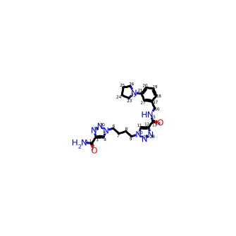 NC(=O)c1cn(CCCCn2cc(C(=O)NCc3cccc(N4CCCC4)c3)nn2)nn1